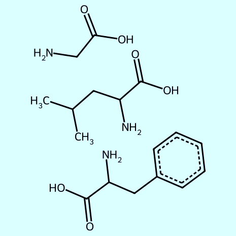 CC(C)CC(N)C(=O)O.NC(Cc1ccccc1)C(=O)O.NCC(=O)O